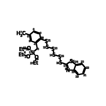 CCO[Si](Cc1cc(C)ccc1SSSSSSc1nc2ccccc2s1)(OCC)OCC